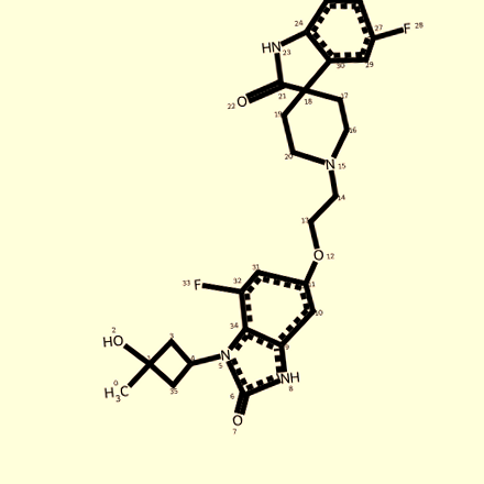 CC1(O)CC(n2c(=O)[nH]c3cc(OCCN4CCC5(CC4)C(=O)Nc4ccc(F)cc45)cc(F)c32)C1